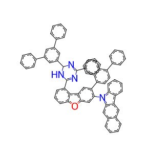 c1ccc(C2=NC(c3cc(-c4ccccc4)cc(-c4ccccc4)c3)NC(c3cccc4oc5cc(-n6c7ccccc7c7cc8ccccc8cc76)c(-c6ccc(-c7ccccc7)c7ccccc67)cc5c34)=N2)cc1